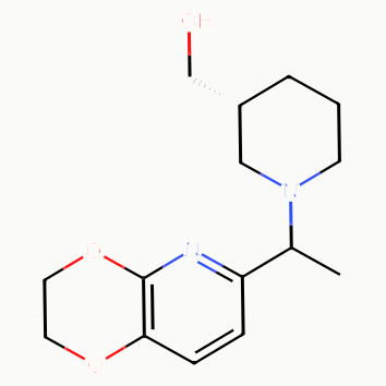 CC(c1ccc2c(n1)OCCO2)N1CCC[C@@H](CO)C1